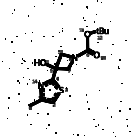 Cc1csc(C2(O)CN(C(=O)OC(C)(C)C)C2)n1